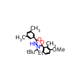 CCC(N(NC(=O)c1cc(C)cc(C)c1)C(=O)c1cccc(OC)c1C)C(C)(C)C